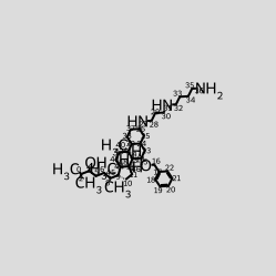 CC(C)C(O)CC[C@@H](C)[C@H]1CC[C@H]2[C@@H]3[C@H](OCc4ccccc4)CC4C[C@@H](NCCCNCCCCN)CC[C@]4(C)[C@H]3CC[C@]12C